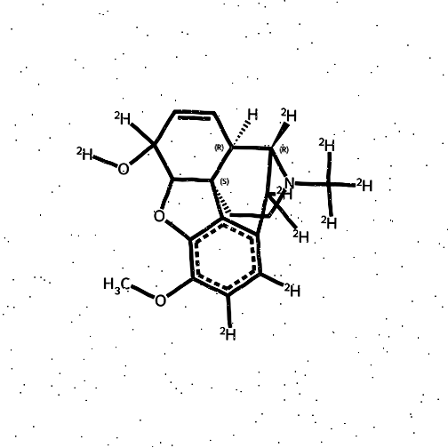 [2H]OC1([2H])C=C[C@@H]2[C@@]34CCN(C([2H])([2H])[2H])[C@]2([2H])C([2H])([2H])c2c([2H])c([2H])c(OC)c(c23)OC14